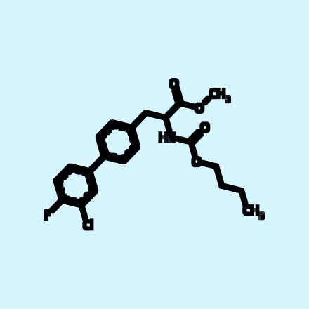 CCCCOC(=O)NC(Cc1ccc(-c2ccc(F)c(Cl)c2)cc1)C(=O)OC